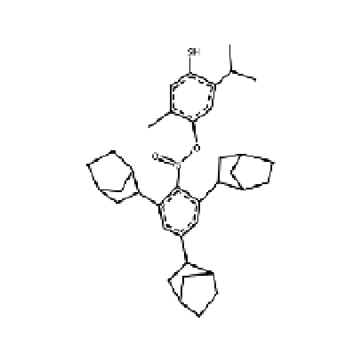 Cc1cc(S)c(C(C)C)cc1OS(=O)c1c(C2CC3CCC2C3)cc(C2CC3CCC2C3)cc1C1CC2CCC1C2